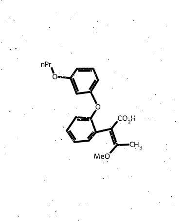 CCCOc1cccc(Oc2ccccc2/C(C(=O)O)=C(/C)OC)c1